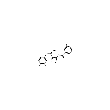 O=C(Nc1nonc1/C(=N\O)Nc1ccc(F)c(Br)c1)c1cccc([N+](=O)[O-])c1